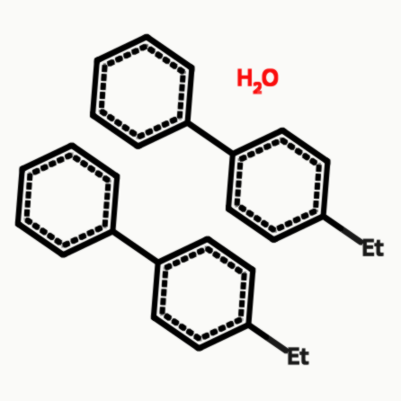 CCc1ccc(-c2ccccc2)cc1.CCc1ccc(-c2ccccc2)cc1.O